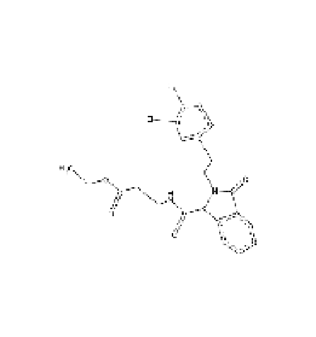 CCOC(=O)CCNC(=O)C1c2ccccc2C(=O)N1CCc1ccc(Cl)c(Cl)c1